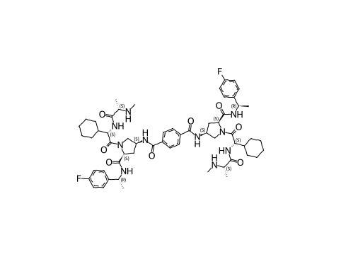 CN[C@@H](C)C(=O)N[C@H](C(=O)N1C[C@@H](NC(=O)c2ccc(C(=O)N[C@H]3C[C@@H](C(=O)N[C@H](C)c4ccc(F)cc4)N(C(=O)[C@@H](NC(=O)[C@H](C)NC)C4CCCCC4)C3)cc2)C[C@H]1C(=O)N[C@H](C)c1ccc(F)cc1)C1CCCCC1